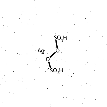 O=S(=O)(O)OOS(=O)(=O)O.[Ag]